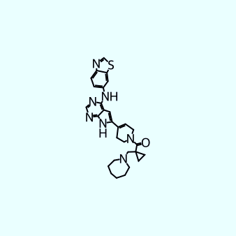 O=C(N1CC=C(c2cc3c(Nc4ccc5ncsc5c4)ncnc3[nH]2)CC1)C1(CN2CCCCCC2)CC1